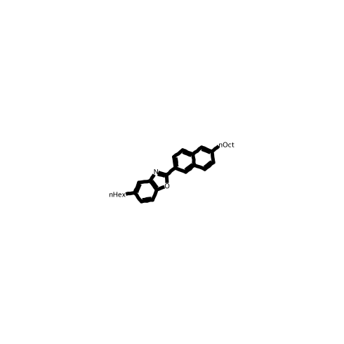 CCCCCCCCc1ccc2cc(-c3nc4cc(CCCCCC)ccc4o3)ccc2c1